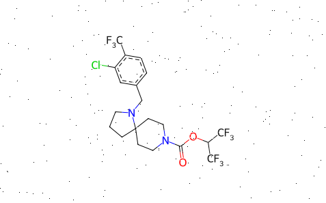 O=C(OC(C(F)(F)F)C(F)(F)F)N1CCC2(CCCN2Cc2ccc(C(F)(F)F)c(Cl)c2)CC1